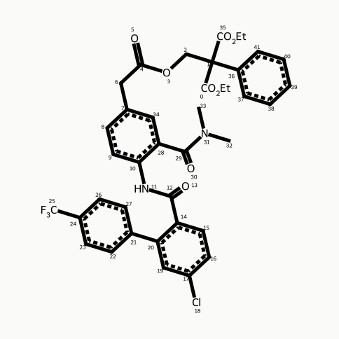 CCOC(=O)C(COC(=O)Cc1ccc(NC(=O)c2ccc(Cl)cc2-c2ccc(C(F)(F)F)cc2)c(C(=O)N(C)C)c1)(C(=O)OCC)c1ccccc1